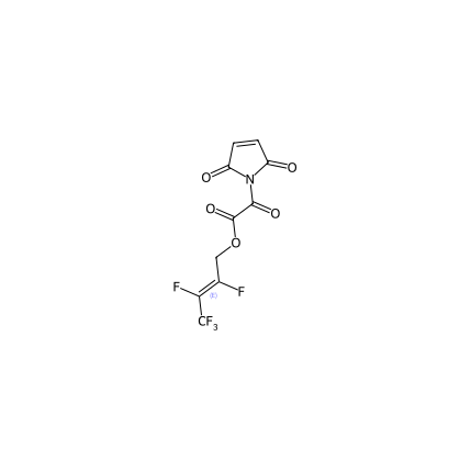 O=C(OC/C(F)=C(\F)C(F)(F)F)C(=O)N1C(=O)C=CC1=O